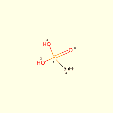 O=[P](O)(O)[SnH]